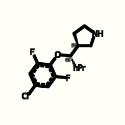 CCC[C@H](Oc1c(F)cc(Cl)cc1F)[C@H]1CCNC1